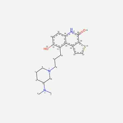 CN(C)C1CCCN(CCCc2c(O)ccc3[nH]c(=O)c4sccc4c23)C1